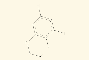 [2H]c1cc(F)c2c(c1)NCCO2